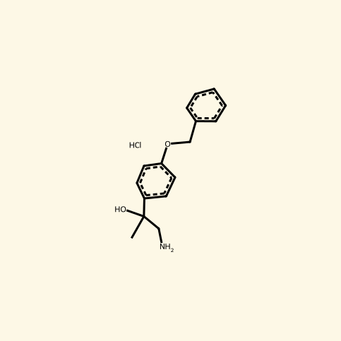 CC(O)(CN)c1ccc(OCc2ccccc2)cc1.Cl